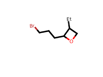 CCC1COC1CCCBr